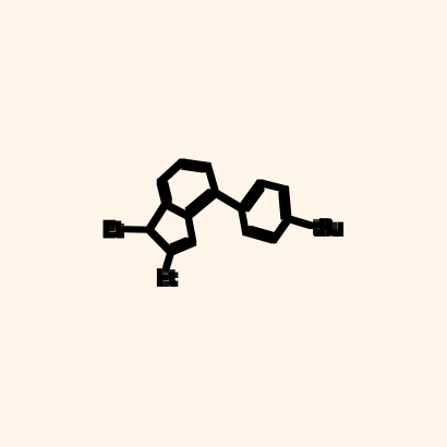 CCC1=Cc2c(-c3ccc(C(C)(C)C)cc3)cccc2C1CC